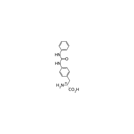 N[C@H](Cc1ccc(NC(=O)Nc2ccccc2)cc1)C(=O)O